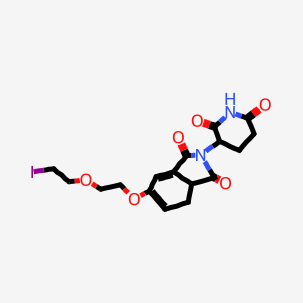 O=C1CCC(N2C(=O)C3=CC(OCCOCCI)=CCC3C2=O)C(=O)N1